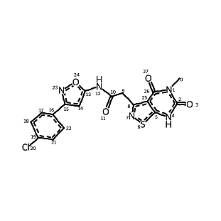 Cn1c(=O)[nH]c2snc(CC(=O)Nc3cc(-c4ccc(Cl)cc4)no3)c2c1=O